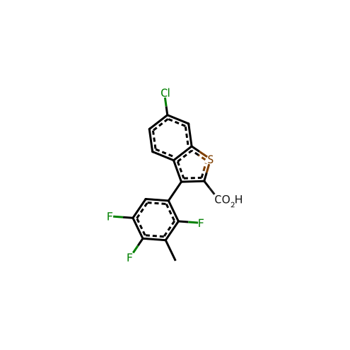 Cc1c(F)c(F)cc(-c2c(C(=O)O)sc3cc(Cl)ccc23)c1F